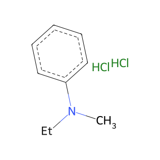 CCN(C)c1ccccc1.Cl.Cl